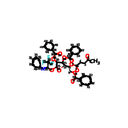 CC(=O)CCC(=O)O[C@H](COC(=O)c1ccccc1)[C@@H]1O[C@@H](O/C(=N/c2ccccc2)C(F)(F)F)C(OC(=O)c2ccccc2)C1OC(=O)c1ccccc1